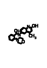 Cc1cc(O)nc2ccc(NC(=O)c3ccccc3N3CCOCC3)cc12